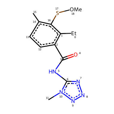 CCc1c(C(=O)Nc2nnnn2C)ccc(C)c1SOC